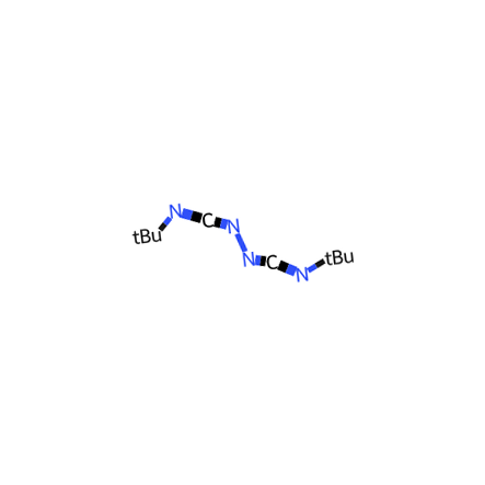 CC(C)(C)N=C=NN=C=NC(C)(C)C